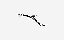 CCCCCCCCCCCCCCCCCCOP([O-])(=S)SCCCCCCCCCCCCCCCCCC.[Zn+]